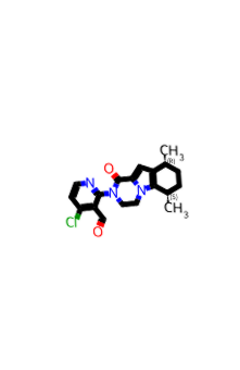 C[C@@H]1CC[C@H](C)c2c1cc1n2CCN(c2nccc(Cl)c2C=O)C1=O